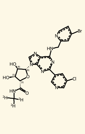 [2H]C([2H])([2H])NC(=O)[C@H]1O[C@@H](n2cnc3c(NCc4cc(Br)ccn4)nc(-c4cncc(Cl)c4)nc32)[C@H](O)[C@@H]1O